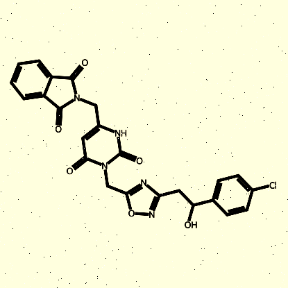 O=C1c2ccccc2C(=O)N1Cc1cc(=O)n(Cc2nc(CC(O)c3ccc(Cl)cc3)no2)c(=O)[nH]1